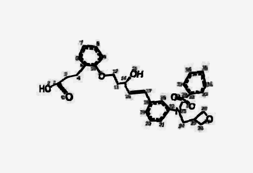 O=C(O)CCc1ccccc1OCC[C@@H](O)/C=C/c1cccc(N(CC2COC2)S(=O)(=O)c2ccccc2)c1